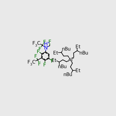 CCCCC(CC)C[CH2][Al-]([CH2]CC(CC)CCCC)([CH2]CC(CC)CCCC)[CH2]CC(CC)CCCC.FC[NH+](c1cc(F)c(F)c(C(F)(F)C(F)(F)F)c1F)C(F)(F)C(F)(F)F